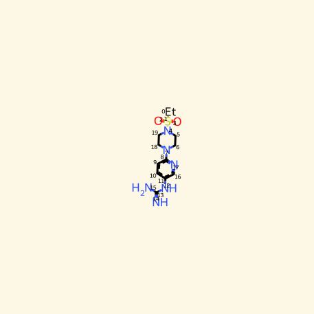 CCS(=O)(=O)N1CCN(c2ccc(NC(=N)N)cn2)CC1